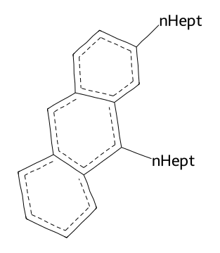 CCCCCCCc1ccc2cc3ccccc3c(CCCCCCC)c2c1